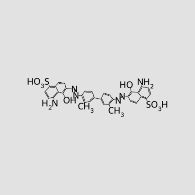 Cc1cc(-c2ccc(N=Nc3ccc4c(S(=O)(=O)O)ccc(N)c4c3O)c(C)c2)ccc1N=Nc1ccc2c(S(=O)(=O)O)ccc(N)c2c1O